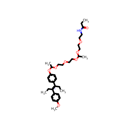 CCC(=O)NCCOCCOC(C)OCCOCCOC(C)Oc1ccc(/C(CC)=C(\CC)c2ccc(OC)cc2)cc1